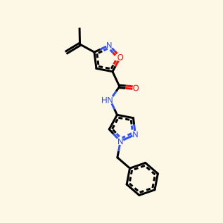 C=C(C)c1cc(C(=O)Nc2cnn(Cc3ccccc3)c2)on1